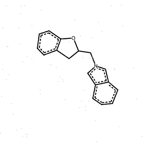 c1ccc2c(c1)CC(Cn1cc3ccccc3c1)O2